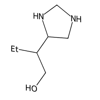 CCC(CO)C1CNCN1